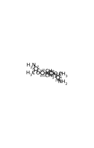 Cc1cc(N)ccc1Oc1ccc(C(C)(C)c2ccc(Oc3ccc(N)cc3C)cc2)cc1